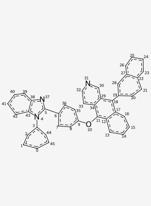 c1ccc(-n2c(-c3ccc(Oc4c5ccccc5c(-c5ccc6ccccc6c5)c5cnccc45)cc3)nc3ccccc32)cc1